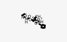 Cc1sc(OC(=O)Nc2nccs2)cc1S(=O)(=O)NCc1ccccc1